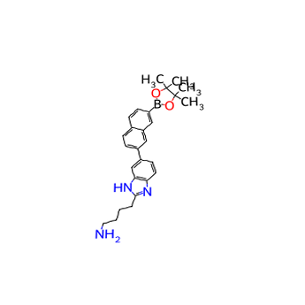 CC1(C)OB(c2ccc3ccc(-c4ccc5nc(CCCCN)[nH]c5c4)cc3c2)OC1(C)C